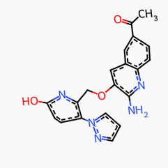 CC(=O)c1ccc2nc(N)c(OCc3nc(O)ccc3-n3cccn3)cc2c1